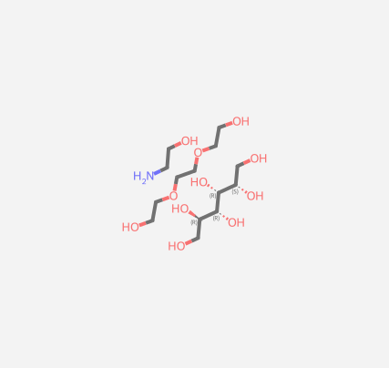 NCCO.OCCOCCOCCO.OC[C@@H](O)[C@@H](O)[C@H](O)[C@@H](O)CO